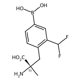 C[C@](N)(Cc1ccc(B(O)O)cc1C(F)F)C(=O)O